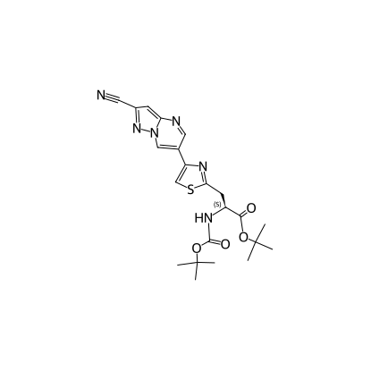 CC(C)(C)OC(=O)N[C@@H](Cc1nc(-c2cnc3cc(C#N)nn3c2)cs1)C(=O)OC(C)(C)C